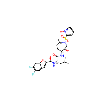 CC(C)C[C@H](NC(=O)c1cc2cc(F)c(F)cc2o1)C(=O)N[C@H]1CC[C@@H](C)N(S(=O)(=O)c2cccc[n+]2[O-])CC1=O